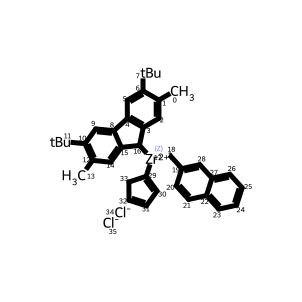 Cc1cc2c(cc1C(C)(C)C)-c1cc(C(C)(C)C)c(C)cc1[CH]2/[Zr+2](=[CH]/c1ccc2ccccc2c1)[C]1=CC=CC1.[Cl-].[Cl-]